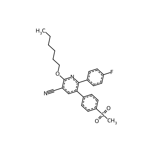 CCCCCCOc1nc(-c2ccc(F)cc2)c(-c2ccc(S(C)(=O)=O)cc2)cc1C#N